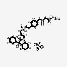 CC(C)(C)OC(=O)CNCc1ccc(CC[N+](C)(C)Cc2cnc([C@](O)(c3ccccc3)C3CCCCC3)o2)cc1.CS(=O)(=O)[O-]